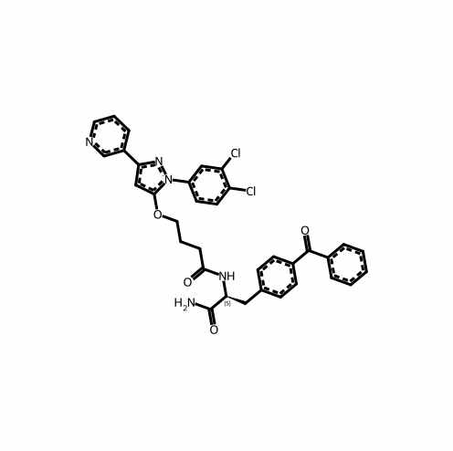 NC(=O)[C@H](Cc1ccc(C(=O)c2ccccc2)cc1)NC(=O)CCCOc1cc(-c2cccnc2)nn1-c1ccc(Cl)c(Cl)c1